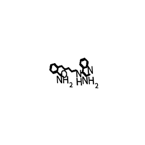 NC(=O)c1ccccc1CCCCCNc1c(N)cnc2ccccc12